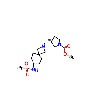 CC(C)S(=O)(=O)NC1CCC2(CC1)CN(C[C@@H]1CCN(C(=O)OC(C)(C)C)C1)C2